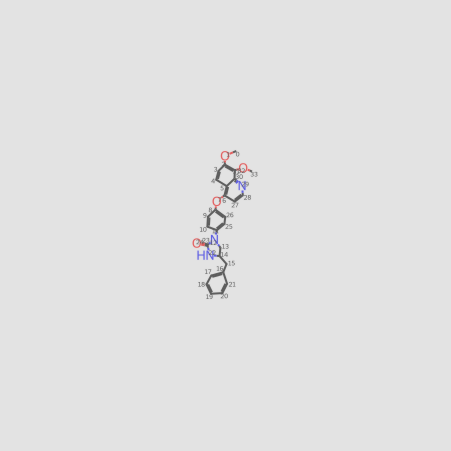 COc1ccc2c(Oc3ccc(N4CC(Cc5ccccc5)NC4=O)cc3)ccnc2c1OC